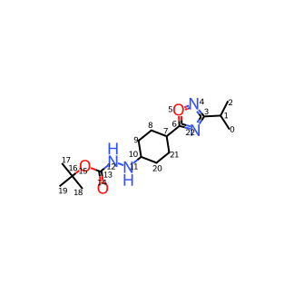 CC(C)c1noc(C2CCC(NNC(=O)OC(C)(C)C)CC2)n1